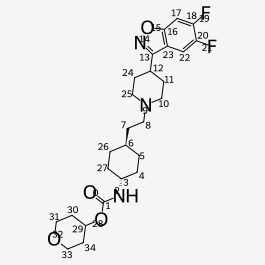 O=C(N[C@H]1CC[C@H](CCN2CCC(c3noc4cc(F)c(F)cc34)CC2)CC1)OC1CCOCC1